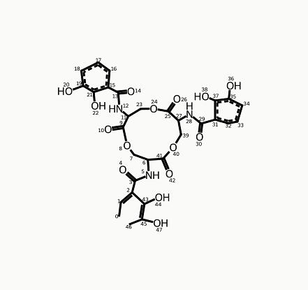 C/C=C(C(=O)NC1COC(=O)C(NC(=O)c2cccc(O)c2O)COC(=O)C(NC(=O)c2cccc(O)c2O)COC1=O)\C(O)=C(/C)O